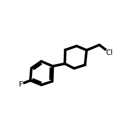 Fc1ccc(C2CCC(CCl)CC2)cc1